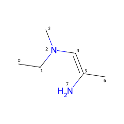 CCN(C)/C=C(/C)N